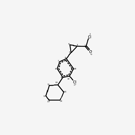 O=C(Cl)C1CC1c1ccc(C2CCCCC2)c(Cl)c1